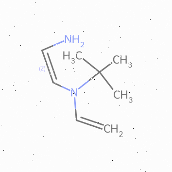 C=CN(/C=C\N)C(C)(C)C